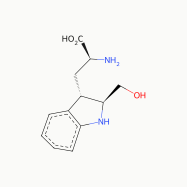 N[C@@H](C[C@H]1c2ccccc2N[C@@H]1CO)C(=O)O